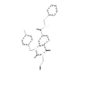 C=CCn1c(=O)c2ccc(C(=O)NCc3ccccc3)cc2n(Cc2ccc(C)cc2)c1=O